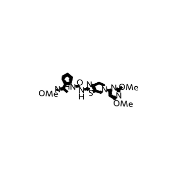 CO/N=C(\C)c1ccccc1NC(=O)Nc1nc2c(s1)CN(c1cc(OC)nc(OC)n1)CC2